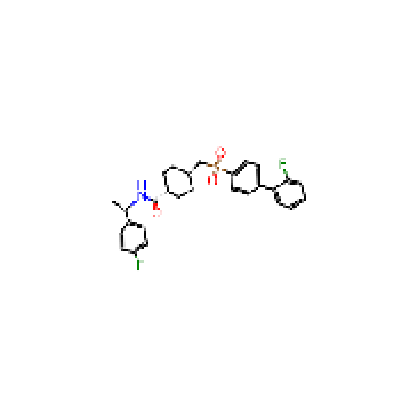 C[C@@H](NC(=O)[C@H]1CC[C@H](CS(=O)(=O)c2ccc(-c3ccccc3F)cc2)CC1)c1ccc(F)cc1